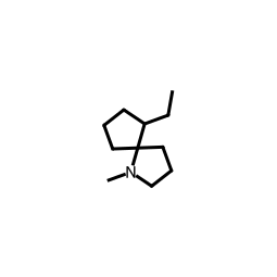 CCC1CCCC12CCCN2C